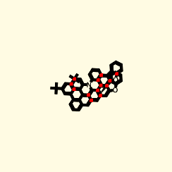 CC(C)(C)c1cc(-c2cccc3cccc(-c4ccccc4N(c4ccccc4-c4ccc5c(c4)oc4ccccc45)c4ccccc4-c4cccc5oc6ccccc6c45)c23)cc(C(C)(C)C)c1